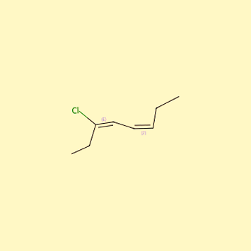 CC/C=C\C=C(\Cl)CC